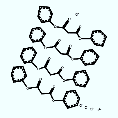 O=C(CC(=O)Oc1ccccc1)Oc1ccccc1.O=C(CC(=O)Oc1ccccc1)Oc1ccccc1.O=C(CC(=O)Oc1ccccc1)Oc1ccccc1.O=C(CC(=O)Oc1ccccc1)Oc1ccccc1.[Cl-].[Cl-].[Cl-].[Cl-].[Ti+4]